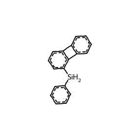 c1ccc([SiH2]c2cccc3c2-c2ccccc2-3)cc1